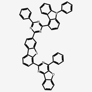 c1ccc(-c2nc(-c3ccc4c(c3)sc3c(-c5nc(-c6ccccc6)c6oc7ccccc7c6n5)cccc34)nc(-c3cccc4c3c3ccccc3n4-c3ccccc3)n2)cc1